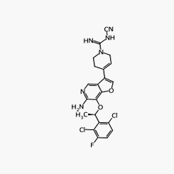 C[C@@H](Oc1c(N)ncc2c(C3=CCN(C(=N)NC#N)CC3)coc12)c1c(Cl)ccc(F)c1Cl